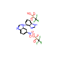 O=S(=O)(O)C(F)(F)F.O=S(=O)(O)C(F)(F)F.O=[N+]([O-])c1ccc2nc[nH]c2c1.c1ccc2[nH]cnc2c1